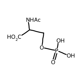 CC(=O)NC(COP(=O)(O)O)C(=O)O